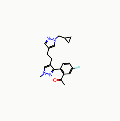 CC(=O)c1cc(F)ccc1-c1nn(C)cc1CCc1cnn(CC2CC2)c1